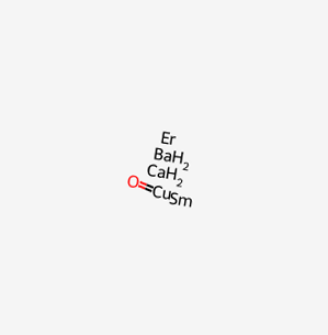 [BaH2].[CaH2].[Er].[O]=[Cu].[Sm]